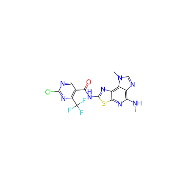 CNc1nc2sc(NC(=O)c3cnc(Cl)nc3C(F)(F)F)nc2c2c1ncn2C